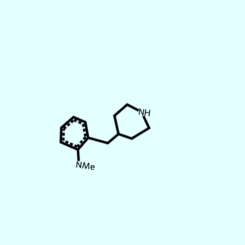 CNc1ccccc1CC1CCNCC1